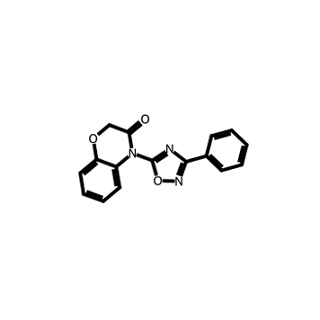 O=C1COc2ccccc2N1c1nc(-c2ccccc2)no1